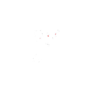 O=C(O)C[C@H](NC(=O)C1CC2CCC(C1)N2C(=O)OCc1ccccc1)C(=O)COc1c(F)c(F)cc(F)c1F